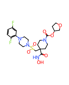 O=C(O[C@H]1CCOC1)N1CCC(CS(=O)(=O)N2CCN(c3cc(F)ccc3F)CC2)(C(=O)NO)CC1